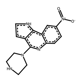 O=[N+]([O-])c1ccc2nc(N3CCNCC3)c3cc[nH]c3c2c1